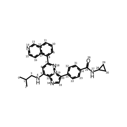 CC(C)CNc1cc(-c2cccc3cnccc23)nn2c(-c3ccc(C(=O)NC4CC4)cc3)cnc12